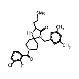 CSCCC1NC2(CCN(C(=O)c3cccc(Cl)c3F)CC2)N(Cc2cc(C)cc(C)c2)C1=O